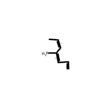 C=C/C=C(N)\C=C/C